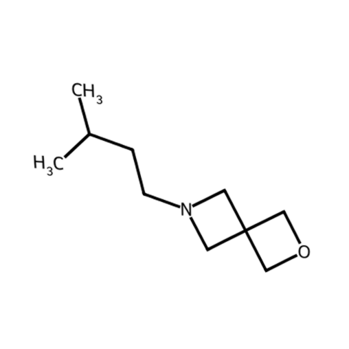 CC(C)CCN1CC2(COC2)C1